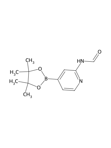 CC1(C)OB(c2ccnc(NC=O)c2)OC1(C)C